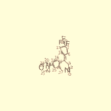 CN1CCC(c2ccc(C(F)(F)F)cc2)c2ccc(N3CCOCC3)cc2C1